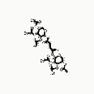 CCC(=O)O[C@@H]1[C@@H](OC(=O)CC)[C@@H](OC(=O)/C=C/C(=O)O[C@H]2OC[C@@H](OC(=O)CC)[C@H](OC(=O)CC)[C@H]2OC(=O)CC)OC[C@H]1OC(=O)CC